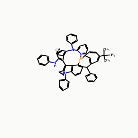 C=Cc1c2ccc(Nc3ccccc3)c1C(=C1CC1)c1c(Nc3ccccc3)ccc3c1P(C1C=CC(C(C)(C)C)=CC(=C1)C3c1ccccc1)[n+]1ccccc1N2c1ccccc1